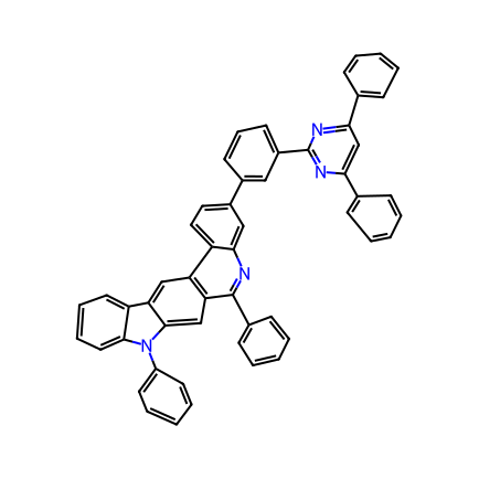 c1ccc(-c2cc(-c3ccccc3)nc(-c3cccc(-c4ccc5c(c4)nc(-c4ccccc4)c4cc6c(cc45)c4ccccc4n6-c4ccccc4)c3)n2)cc1